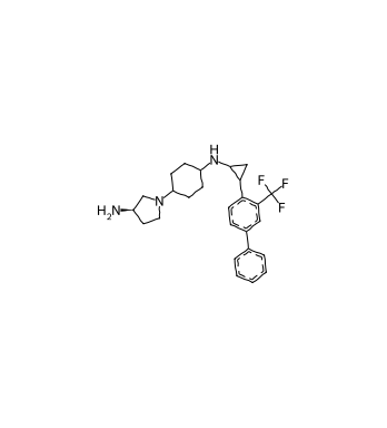 N[C@@H]1CCN(C2CCC(NC3CC3c3ccc(-c4ccccc4)cc3C(F)(F)F)CC2)C1